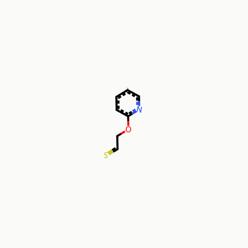 S=CCOc1cc[c]cn1